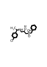 CC(NC[C@@H](O)CP(=O)(O)Cc1ccccc1)c1ccc(Cl)cc1